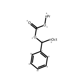 CCCCCCCCC(OC(=O)OCCC)c1ccccc1